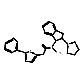 CN(C(=O)Cc1ccc(-c2ccccc2)s1)C1c2ccccc2CC1N1CCCC1